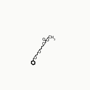 CCOC(=O)COCCCCOCCCOCc1ccccc1